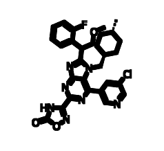 COCC(c1ccccc1F)c1nc2nc(-c3noc(=O)[nH]3)nc(-c3cncc(Cl)c3)c2n1C[C@H]1CC[C@H](C)CC1